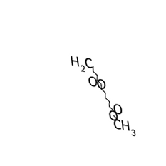 C=CCCC(=O)OCCCCCC(=O)OCC